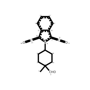 CC1(C=O)CCC(n2c(=C=O)c3ccccc3c2=C=O)CC1